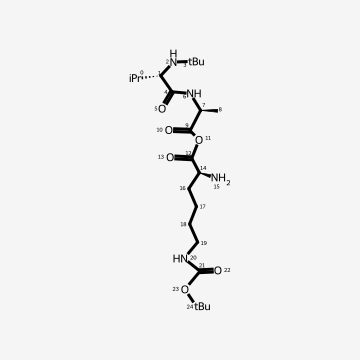 CC(C)[C@H](NC(C)(C)C)C(=O)N[C@@H](C)C(=O)OC(=O)[C@@H](N)CCCCNC(=O)OC(C)(C)C